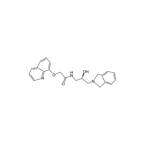 O=C(COc1cccc2cccnc12)NC[C@@H](O)CN1Cc2ccccc2C1